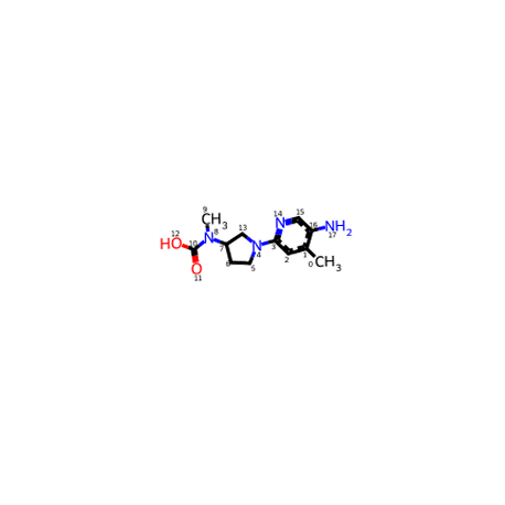 Cc1cc(N2CCC(N(C)C(=O)O)C2)ncc1N